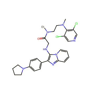 CCN(CCN(C)c1c(Cl)cncc1Cl)C(=O)CNc1c(-c2ccc(N3CCCC3)cc2)nc2ccccn12